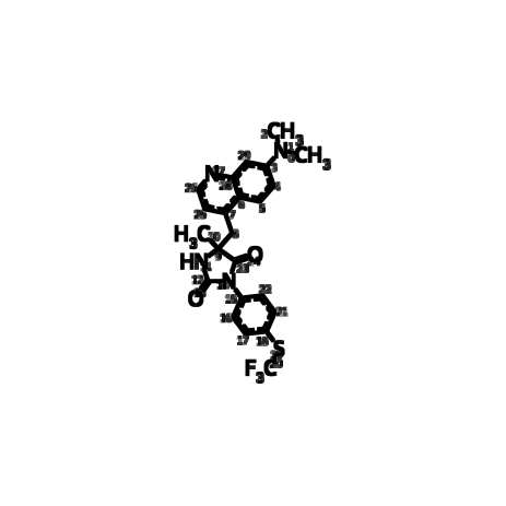 CN(C)c1ccc2c(CC3(C)NC(=O)N(c4ccc(SC(F)(F)F)cc4)C3=O)ccnc2c1